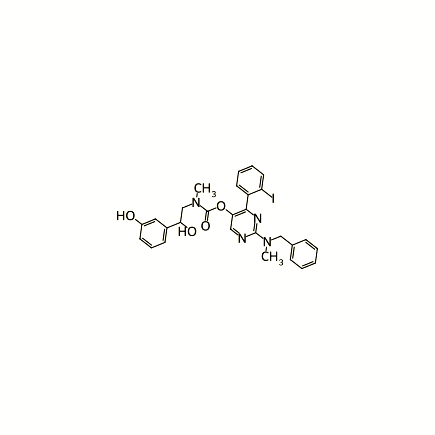 CN(CC(O)c1cccc(O)c1)C(=O)Oc1cnc(N(C)Cc2ccccc2)nc1-c1ccccc1I